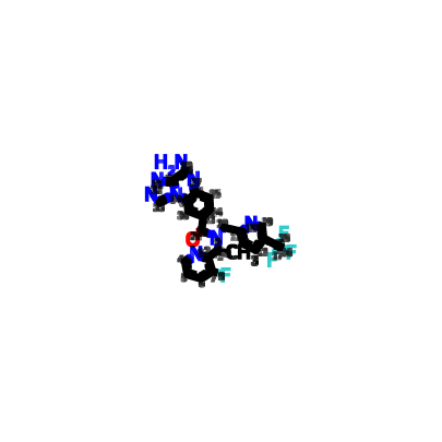 C[C@H](c1ncccc1F)N(Cc1ccc(C(F)(F)F)cn1)C(=O)c1ccc2nc(N)c3nncn3c2c1